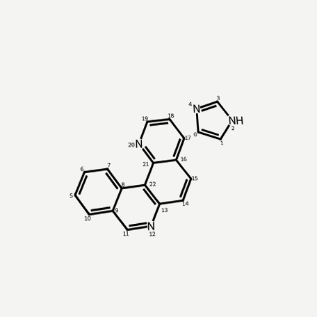 c1c[nH]cn1.c1ccc2c(c1)cnc1ccc3cccnc3c12